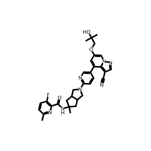 Cc1ccc(F)c(C(=O)NC2(C)CC3CN(c4ccc(-c5cc(OCC(C)(C)O)cn6ncc(C#N)c56)cn4)CC3C2)n1